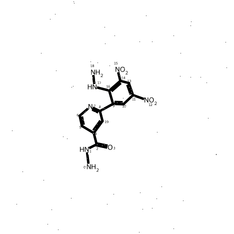 NNC(=O)c1ccnc(-c2cc([N+](=O)[O-])cc([N+](=O)[O-])c2NN)c1